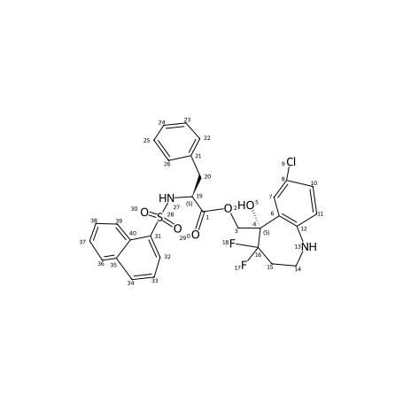 O=C(OC[C@@]1(O)c2cc(Cl)ccc2NCCC1(F)F)[C@H](Cc1ccccc1)NS(=O)(=O)c1cccc2ccccc12